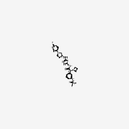 O=C(Nc1nnc(N[C@@H]2CCN(c3ccc(F)nn3)C2)s1)[C@H](c1cccc(OC(F)(F)F)c1)N1CCC1